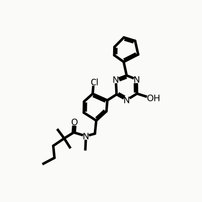 CCCC(C)(C)C(=O)N(C)Cc1ccc(Cl)c(-c2nc(O)nc(-c3ccccc3)n2)c1